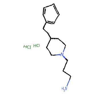 Cl.Cl.NCCCN1CCC(Cc2ccccc2)CC1